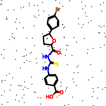 O=C(O)c1ccc(NC(=S)NC(=O)C2CCC(c3ccc(Br)cc3)O2)cc1